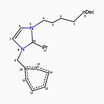 CCCCCCCCCCCCCCN1C=CN(Cc2ccccc2)C1C(C)C